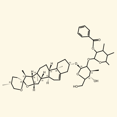 CC1OC(OC2[C@H](O[C@H]3CC[C@@]4(C)C(=CC[C@H]5[C@@H]6C[C@@H]7O[C@]8(CC[C@@H](C)CO8)[C@@H](C)[C@@H]7[C@@]6(C)CC[C@@H]54)C3)OC(CO)[C@@H](O)[C@@H]2C)C(OC(=O)c2ccccc2)C(C)C1C